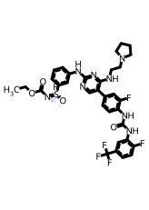 CCOC(=O)/N=[SH](=O)\c1cccc(Nc2ncc(-c3ccc(NC(=O)Nc4cc(C(F)(F)F)ccc4F)c(F)c3)c(NCCN3CCCC3)n2)c1